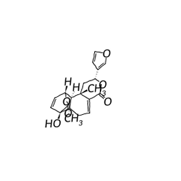 C[C@@]12C[C@H](c3ccoc3)OC(=O)C1=CC[C@]1(C)[C@H]2[C@H]2C=C[C@]1(O)C(=O)O2